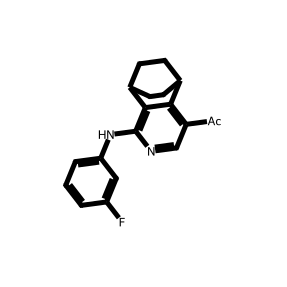 CC(=O)c1cnc(Nc2cccc(F)c2)c2c1C1CCC2CC1